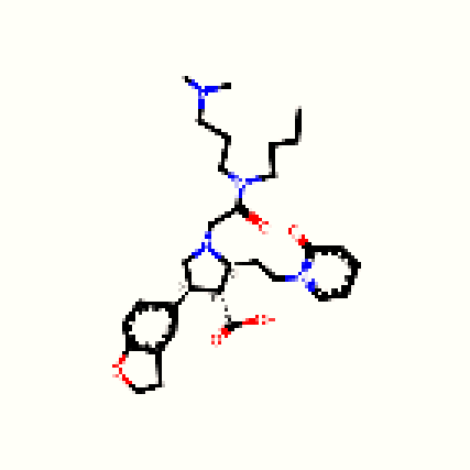 CCCCN(CCCN(C)C)C(=O)CN1C[C@H](c2ccc3c(c2)CCO3)[C@@H](C(=O)O)[C@@H]1CCn1ccccc1=O